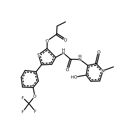 CCC(=O)Oc1sc(-c2cccc(OC(F)(F)F)c2)cc1NC(=O)Nc1c(O)ccn(C)c1=O